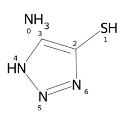 N.Sc1c[nH]nn1